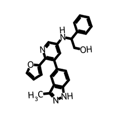 Cc1n[nH]c2ccc(-c3cc(NC(CO)c4ccccc4)cnc3-c3ccco3)cc12